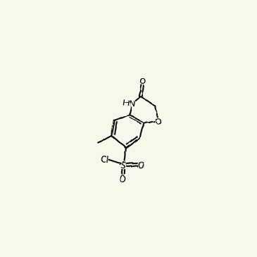 Cc1cc2c(cc1S(=O)(=O)Cl)OCC(=O)N2